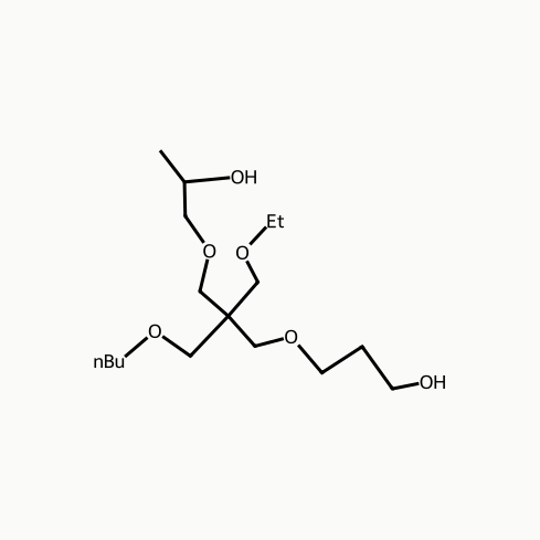 CCCCOCC(COCC)(COCCCO)COCC(C)O